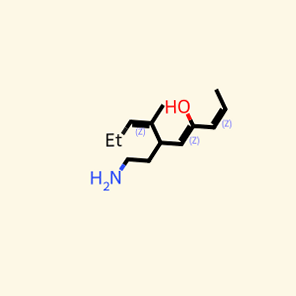 C/C=C\C(O)=C\C(CCN)/C(C)=C\CC